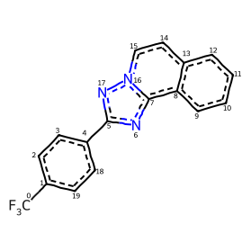 FC(F)(F)c1ccc(-c2nc3c4ccccc4ccn3n2)cc1